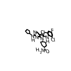 NC(=O)[C@H]1CC[C@@H](n2c(Nc3c(Cl)cc(F)cc3Cl)nc3cnc(NC4CCCC4)nc32)CC1